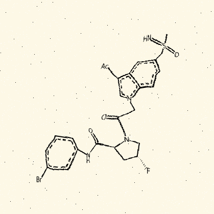 CC(=O)c1cn(CC(=O)N2C[C@H](F)C[C@H]2C(=O)Nc2cccc(Br)c2)c2ccc(S(C)(=N)=O)cc12